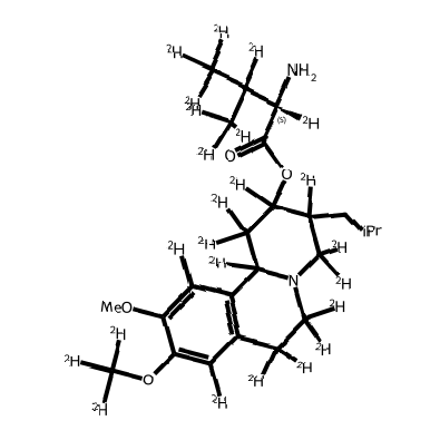 [2H]c1c(OC([2H])([2H])[2H])c(OC)c([2H])c2c1C([2H])([2H])C([2H])([2H])N1C([2H])([2H])C([2H])(CC(C)C)C([2H])(OC(=O)[C@@]([2H])(N)C([2H])(C([2H])([2H])[2H])C([2H])([2H])[2H])C([2H])([2H])C21[2H]